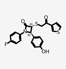 O=C(CS[C@H]1C(=O)N(c2ccc(F)cc2)[C@@H]1c1ccc(O)cc1)c1ccsc1